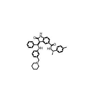 Cc1ccc([C@@H](C)NC(=O)c2ccc3c(c2)C(=C(Nc2cccc(CN4CCCCC4)c2)c2ccccc2)C(=O)N3)cc1